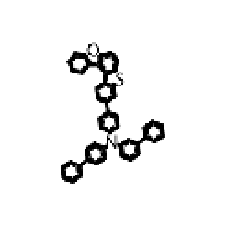 c1ccc(-c2ccc(N(c3ccc(-c4ccc5c(c4)sc4ccc6oc7ccccc7c6c45)cc3)c3cccc(-c4ccccc4)c3)cc2)cc1